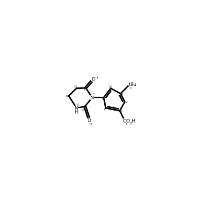 CC(C)(C)c1cc(C(=O)O)cc(N2C(=O)CCNC2=O)c1